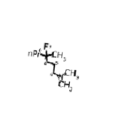 CCCC(C)(F)CCCN(C)C